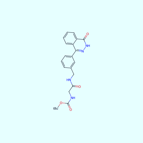 CC(C)(C)OC(=O)NCC(=O)NCc1cccc(-c2n[nH]c(=O)c3ccccc23)c1